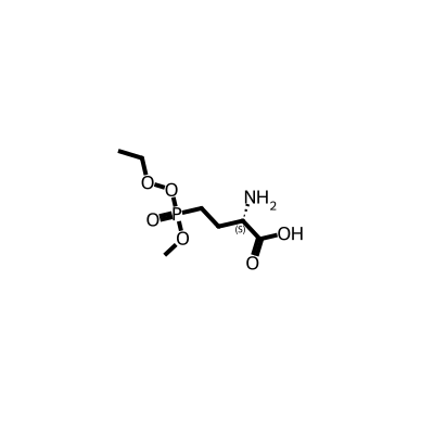 CCOOP(=O)(CC[C@H](N)C(=O)O)OC